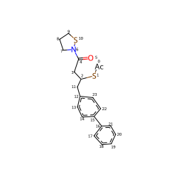 CC(=O)SC(CC(=O)N1CCCS1)Cc1ccc(-c2ccccc2)cc1